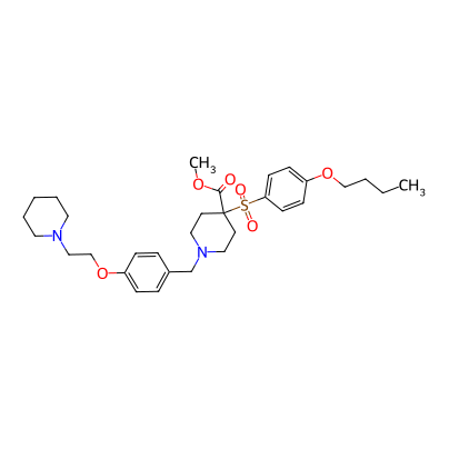 CCCCOc1ccc(S(=O)(=O)C2(C(=O)OC)CCN(Cc3ccc(OCCN4CCCCC4)cc3)CC2)cc1